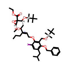 CCC/C(=C\COc1c(I)cc(CC(C)C)c(OCc2ccccc2)c1CO[Si](C)(C)C(C)(C)C)C(O)C[C@@H](O[Si](C)(C)C(C)(C)C)C1(C(=O)OCC)O[C@H]1CC